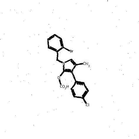 Cc1cn(Cc2ccccc2Br)c(OC(=O)O)c1-c1ccc(Cl)cc1